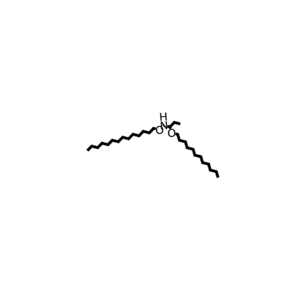 CCCCCCCCCCCCCCONC(CC)OCCCCCCCCCCCC